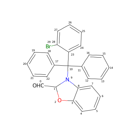 O=CC1Oc2ccccc2N1C(c1ccccc1)(c1ccccc1)c1ccccc1Br